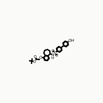 CC(C)(C)OC(=O)COc1cccc2c1CCCCC2NS(=O)(=O)c1ccc(-c2ccc(O)cc2)cc1